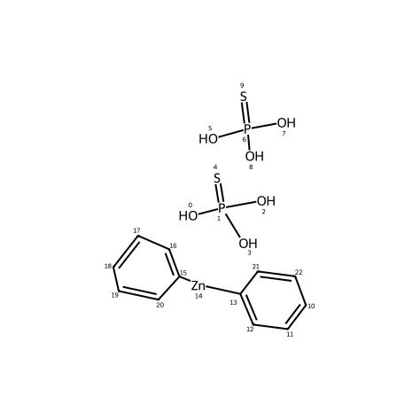 OP(O)(O)=S.OP(O)(O)=S.c1cc[c]([Zn][c]2ccccc2)cc1